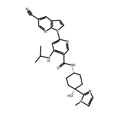 CC(C)Nc1cc(-n2ccc3cc(C#N)cnc32)ncc1C(=O)N[C@H]1CC[C@](O)(c2nccn2C)CC1